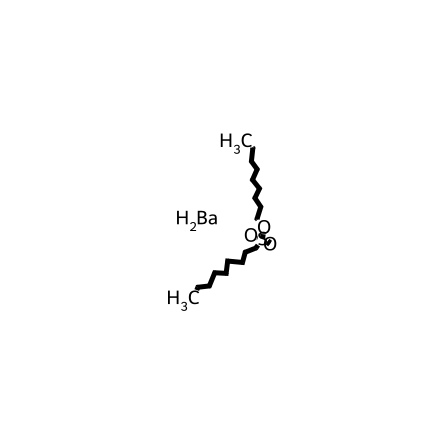 CCCCCCCCCOS(=O)(=O)CCCCCCCCC.[BaH2]